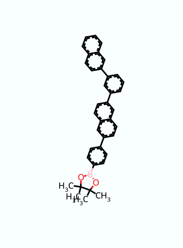 CC1(C)OB(c2ccc(-c3ccc4cc(-c5cccc(-c6ccc7ccccc7c6)c5)ccc4c3)cc2)OC1(C)C